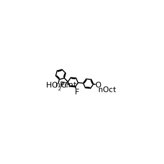 CCCCCCCCOc1ccc(C2C=CC(C(=O)O)(c3ccccc3CCCCC)C=C2F)cc1